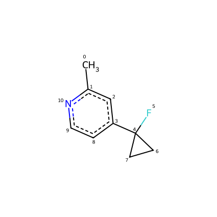 Cc1cc(C2(F)CC2)ccn1